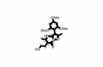 COc1cc(OC)c(-c2c(C)nn3c(=O)c(CCO)c(C)[nH]c23)c(OC)c1